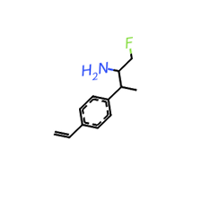 C=Cc1ccc(C(C)C(N)CF)cc1